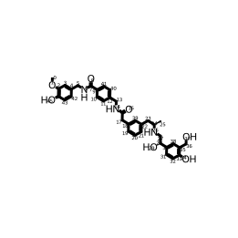 COc1cc(CNC(=O)c2ccc(CNC(=O)Cc3cccc(C[C@@H](C)NC[C@@H](O)c4ccc(O)c(CO)c4)c3)cc2)ccc1O